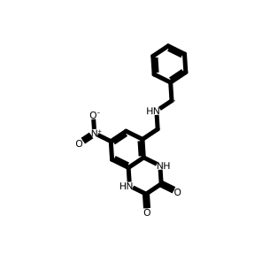 O=c1[nH]c2cc([N+](=O)[O-])cc(CN[CH]c3ccccc3)c2[nH]c1=O